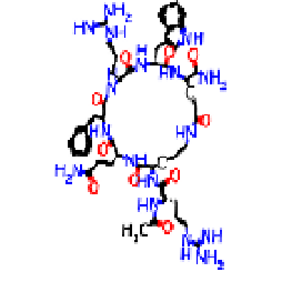 CC(=O)N[C@@H](CCCNC(=N)N)C(=O)NC1CCCNC(=O)CCC(C(N)=O)NC(=O)[C@H](Cc2c[nH]c3ccccc23)NC(=O)[C@H](CCCNC(=N)N)NC(=O)C(Cc2ccccc2)NC(=O)[C@H](CCC(N)=O)NC1=O